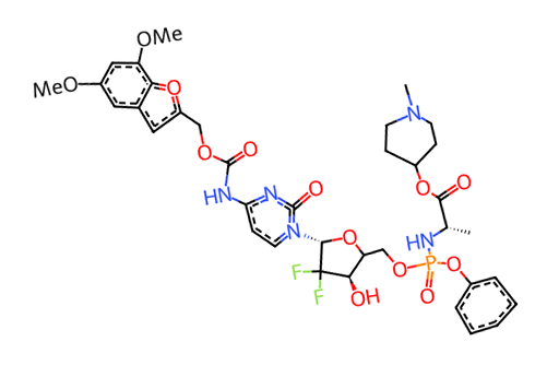 COc1cc(OC)c2oc(COC(=O)Nc3ccn([C@@H]4OC(COP(=O)(N[C@@H](C)C(=O)OC5CCN(C)CC5)Oc5ccccc5)[C@@H](O)C4(F)F)c(=O)n3)cc2c1